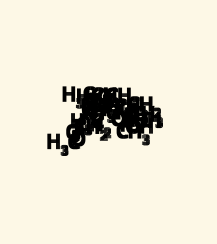 C=C(C)C(=O)OC.C=C(C)C(=O)OCCCC.C=CC#N.C=CC(=O)O.C=CC(=O)OC.C=CC(=O)OCCCC.CC(O)CO